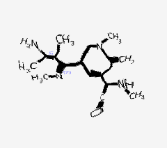 C=C1C(C(=C=O)NC)=CC(C(=N/C)/C(C)=C(\C)N)CN1C